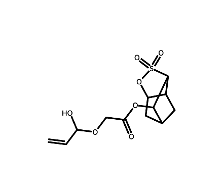 C=CC(O)OCC(=O)OC1C2CC3OS(=O)(=O)C1C3C2